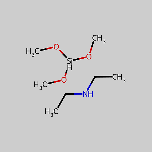 CCNCC.CO[SiH](OC)OC